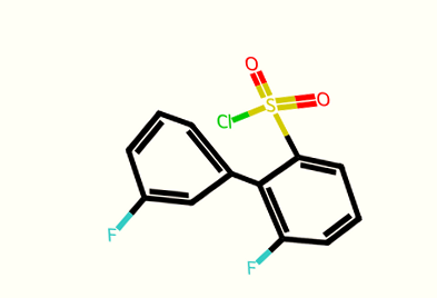 O=S(=O)(Cl)c1cccc(F)c1-c1cccc(F)c1